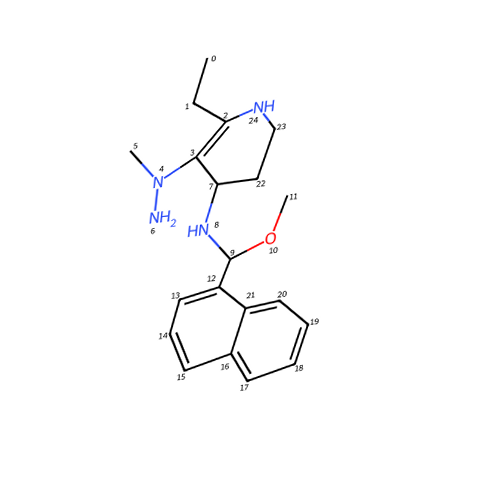 CCC1=C(N(C)N)C(NC(OC)c2cccc3ccccc23)CCN1